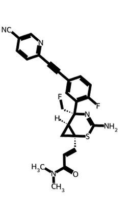 CN(C)C(=O)/C=C/[C@]12C[C@H]1[C@@](CF)(c1cc(C#Cc3ccc(C#N)cn3)ccc1F)N=C(N)S2